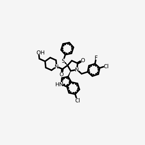 O=C1C[C@@](Sc2ccccc2)(C(=O)N2CCC(CO)CC2)[C@H](c2c[nH]c3cc(Cl)ccc23)N1Cc1ccc(Cl)c(F)c1